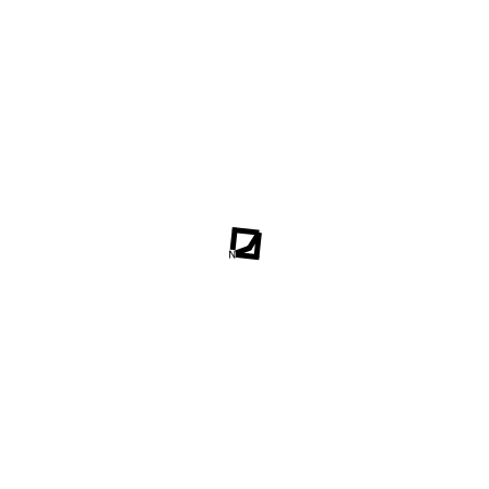 C1C2CN1C2